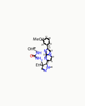 CCC1(C)C=NN(C)C1c1ccn2cc(-c3cccc(OC)c3)nc2n1.NC(=O)NC=O